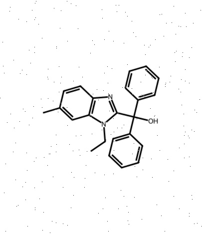 CCn1c(C(O)(c2ccccc2)c2ccccc2)nc2ccc(C)cc21